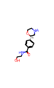 O=C(NCCO)c1ccc([C@H]2CNCCO2)cc1